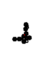 c1ccc(-c2ccc(N(c3ccccc3)c3cccc4oc5c6ccccc6c(-c6ccc(-c7ccc8c(c7)sc7ccccc78)cc6)cc5c34)cc2)cc1